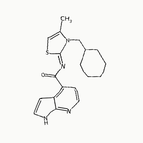 Cc1cs/c(=N\C(=O)c2ccnc3[nH]ccc23)n1CC1CCCCC1